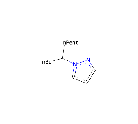 CCCCCC(CCCC)n1cccn1